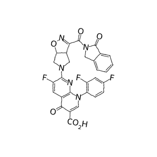 O=C(O)c1cn(-c2ccc(F)cc2F)c2nc(N3CC4ON=C(C(=O)N5Cc6ccccc6C5=O)C4C3)c(F)cc2c1=O